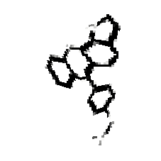 COc1ccc(C2=c3ccc4c(c3Oc3ccccc32)OCC=4)cc1